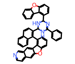 c1ccc(C2=NC(c3cccc4oc5ccccc5c34)NC(c3ccc4ccccc4c3-c3cccc4oc5cc6ccncc6cc5c34)N2)cc1